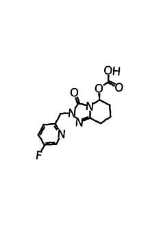 O=C(O)O[C@H]1CCCc2nn(Cc3ccc(F)cn3)c(=O)n21